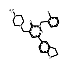 CN1CCN(Cc2cc(-c3ccc4c(c3)CCO4)nn(Cc3ccccc3Cl)c2=O)CC1